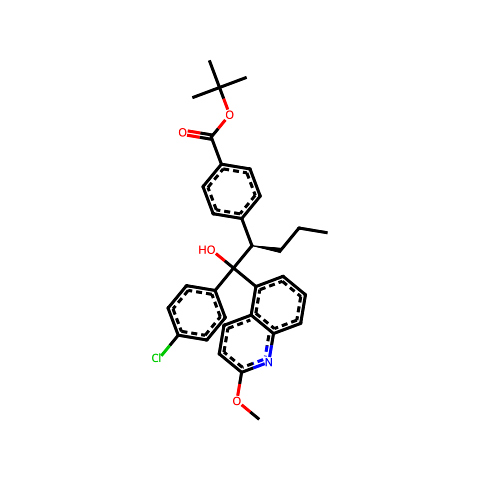 CCC[C@H](c1ccc(C(=O)OC(C)(C)C)cc1)C(O)(c1ccc(Cl)cc1)c1cccc2nc(OC)ccc12